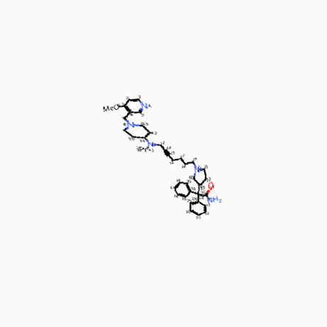 COc1ccncc1CN1CCC(N(CC#CCCCCN2CC[C@@H](C(C(N)=O)(c3ccccc3)c3ccccc3)C2)C(C)C)CC1